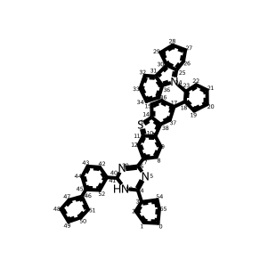 c1ccc(C2=NC(c3ccc4c(c3)sc3ccc(-c5ccccc5-n5c6ccccc6c6ccccc65)cc34)=NC(c3cccc(-c4ccccc4)c3)N2)cc1